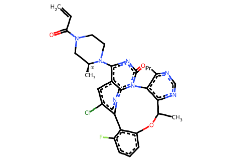 C=CC(=O)N1CCN(c2nc(=O)n3c4nc(c(Cl)cc24)-c2c(F)cccc2OC(C)c2ncnc(C(C)C)c2-3)[C@@H](C)C1